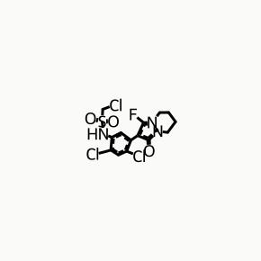 O=c1c(-c2cc(NS(=O)(=O)CCl)c(Cl)cc2Cl)c(F)n2n1CCCC2